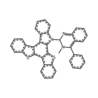 CN1C(c2ccccc2)=c2ccccc2=NC1n1c2ccccc2c2c3c4ccccc4sc3c3c4ccccc4sc3c21